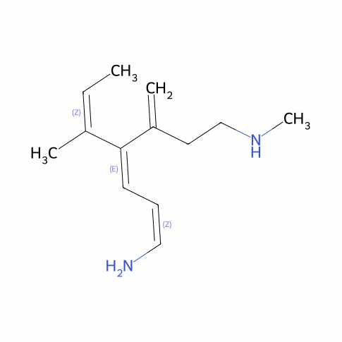 C=C(CCNC)C(=C\C=C/N)/C(C)=C\C